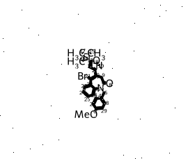 COc1ccc(CN2C(=O)CC(c3cc([Si](C)(C)C)on3)=C(Br)c3ccccc32)cc1